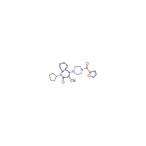 N#Cc1c(N2CCN(C(=O)c3ccco3)CC2)c2ccccc2n(C2CCCC2)c1=O